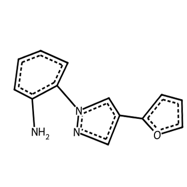 Nc1ccccc1-n1cc(-c2ccco2)cn1